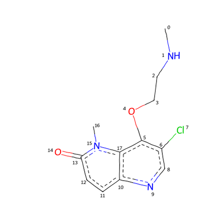 CNCCOc1c(Cl)cnc2ccc(=O)n(C)c12